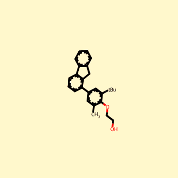 Cc1cc(-c2cccc3c2Cc2ccccc2-3)cc(C(C)(C)C)c1OCCO